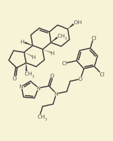 CCCN(CCOc1c(Cl)cc(Cl)cc1Cl)C(=O)n1ccnc1.C[C@]12CC[C@H](O)CC1=CC[C@@H]1[C@@H]2CC[C@]2(C)C(=O)CC[C@@H]12